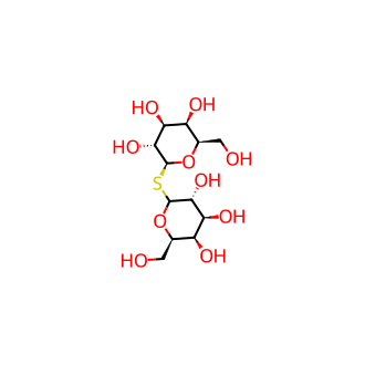 OC[C@H]1O[C@@H](SC2O[C@H](CO)[C@H](O)[C@H](O)[C@H]2O)[C@H](O)[C@@H](O)[C@H]1O